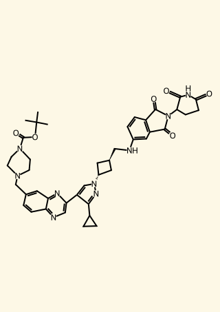 CC(C)(C)OC(=O)N1CCN(Cc2ccc3ncc(-c4cn([C@H]5C[C@H](CNc6ccc7c(c6)C(=O)N(C6CCC(=O)NC6=O)C7=O)C5)nc4C4CC4)nc3c2)CC1